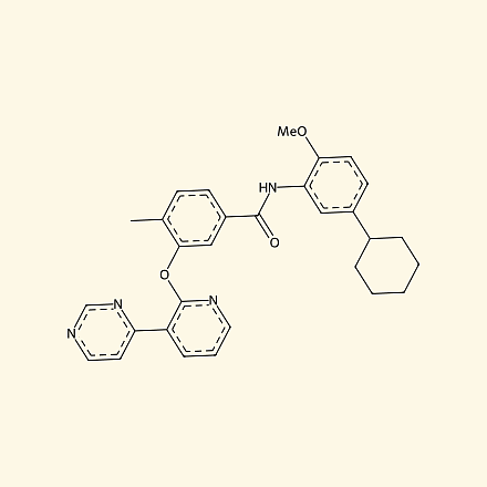 COc1ccc(C2CCCCC2)cc1NC(=O)c1ccc(C)c(Oc2ncccc2-c2ccncn2)c1